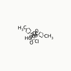 Cc1ccc(S(=O)(=O)OS(=O)(=O)c2ccc(C)cc2)cc1.O=C(O)CCl